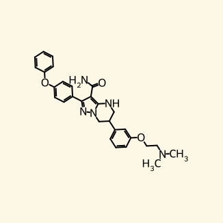 CN(C)CCOc1cccc(C2CNc3c(C(N)=O)c(-c4ccc(Oc5ccccc5)cc4)nn3C2)c1